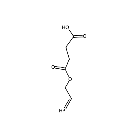 O=C(O)CCC(=O)OCC=P